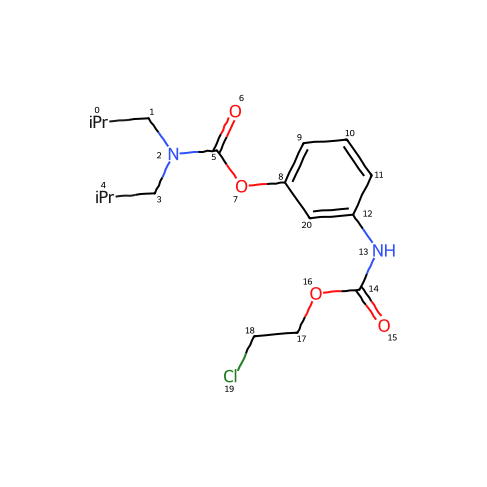 CC(C)CN(CC(C)C)C(=O)Oc1cccc(NC(=O)OCCCl)c1